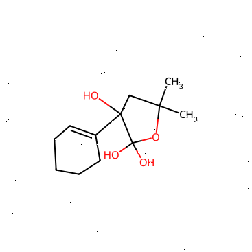 CC1(C)CC(O)(C2=CCCCC2)C(O)(O)O1